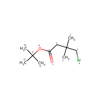 CC(C)(CBr)CC(=O)OC(C)(C)C